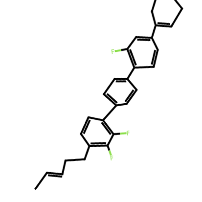 C/C=C/CCc1ccc(-c2ccc(-c3ccc(C4=CCC(CCCC)CC4)cc3F)cc2)c(F)c1F